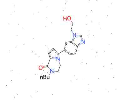 CCCCN1CCn2c(ccc2-c2ccc3ncn(CCO)c3c2)C1=O